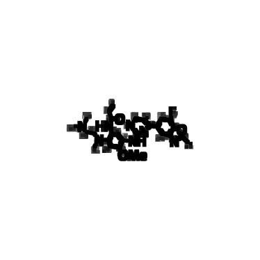 C=CC(=O)Nc1cc(Nc2nccc(-c3cc(F)c4oc(C)nc4c3)n2)c(OC)cc1N(C)CCN(C)C